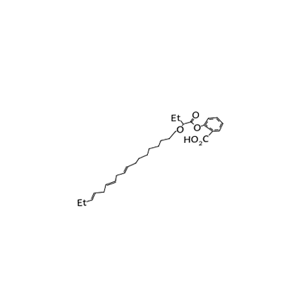 CCC=CCC=CCC=CCCCCCCCCOC(CC)C(=O)Oc1ccccc1C(=O)O